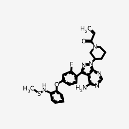 C=CC(=O)N1CCCC(n2nc(-c3ccc(Oc4ccccc4NSC)cc3F)c3c(N)ncnc32)C1